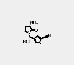 Cl.N#Cc1cc(CN2CC[C@H](N)C2=O)cs1